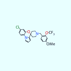 COc1ccc(CN2CCC3(CC2)Oc2cc(Cl)ccc2-n2cccc23)c(OC(F)(F)F)c1